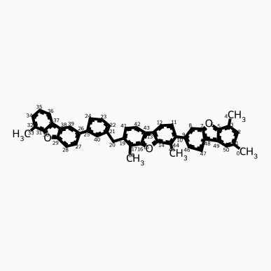 Cc1cc(C)c2oc3cc(-c4ccc5c(oc6c(C)c(Cc7cccc(-c8ccc9oc%10c(C)cccc%10c9c8)c7)ccc65)c4C)ccc3c2c1